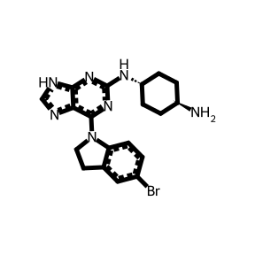 N[C@H]1CC[C@H](Nc2nc(N3CCc4cc(Br)ccc43)c3nc[nH]c3n2)CC1